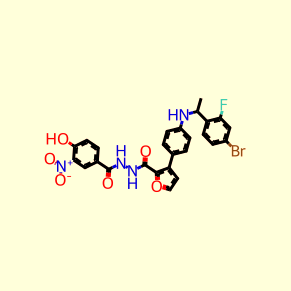 CC(Nc1ccc(-c2ccoc2C(=O)NNC(=O)c2ccc(O)c([N+](=O)[O-])c2)cc1)c1ccc(Br)cc1F